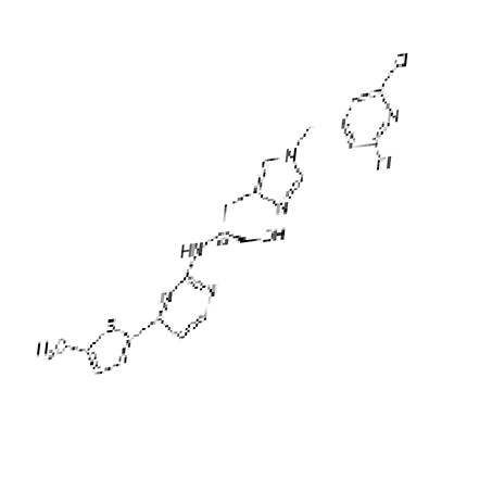 Cc1ccc(-c2ccnc(N[C@H](CO)Cc3cn(Cc4cc(Cl)nc(Cl)c4)cn3)n2)s1